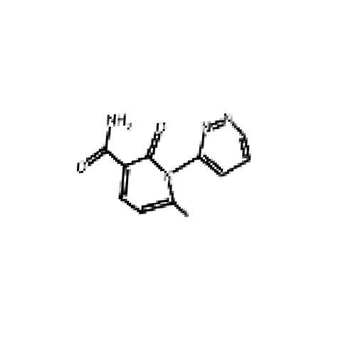 Cc1ccc(C(N)=O)c(=O)n1-c1cccnn1